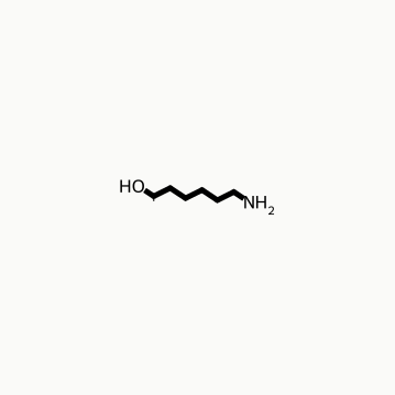 NCCCCC[CH]O